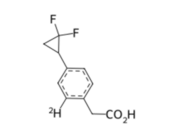 [2H]c1cc(C2CC2(F)F)ccc1CC(=O)O